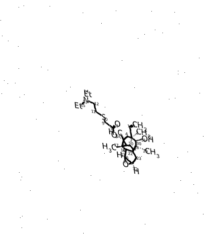 C=C[C@]1(C)C[C@@H](OC(=O)CSCCN(CC)CC)[C@]2(C)C(C)CC[C@]3(C[C@H]4O[C@H]4C32)[C@@H](C)[C@@H]1O